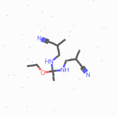 CCOC(C)(NCC(C)C#N)NCC(C)C#N